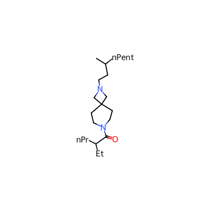 CCCCCC(C)CCN1CC2(CCN(C(=O)C(CC)CCC)CC2)C1